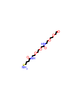 NSCCCC(=O)NCCOCCOCC(=O)NCCOCCOCC=O